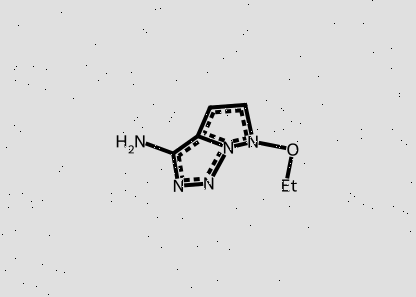 CCOn1ccc2c(N)nnn21